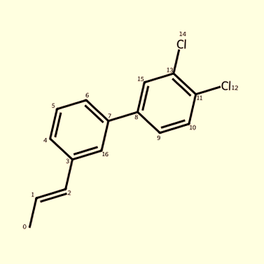 CC=Cc1cccc(-c2ccc(Cl)c(Cl)c2)c1